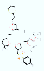 C=C1C[C@H](CCC2SCCCS2)O[C@H]1CC[C@H]1CCC(=C)[C@@H](C[C@@H]2O[C@H](CC(CO[Si](C)(C)C(C)(C)C)O[Si](C)(C)C(C)(C)C)CC2CS(=O)(=O)c2ccc(CC)cc2)O1